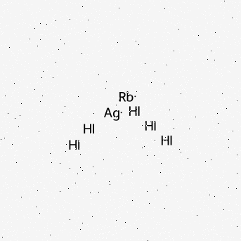 I.I.I.I.I.[Ag].[Rb]